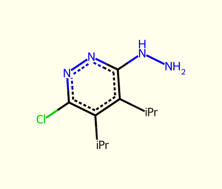 CC(C)c1c(Cl)nnc(NN)c1C(C)C